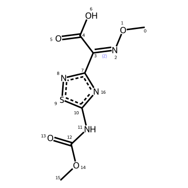 CO/N=C(\C(=O)O)c1nsc(NC(=O)OC)n1